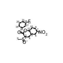 C[S+]([O-])c1cc2cc([N+](=O)[O-])ccc2oc1=O.Fc1ccccc1